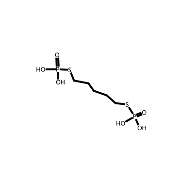 O=P(O)(O)SCCCCCSP(=O)(O)O